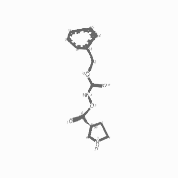 O=C(NOC(=O)[C@H]1CCNC1)OCc1ccccc1